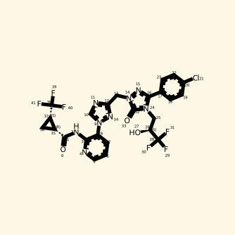 O=C(Nc1ncccc1-n1cnc(Cn2nc(-c3ccc(Cl)cc3)n(C[C@H](O)C(F)(F)F)c2=O)n1)[C@@H]1C[C@@H]1C(F)(F)F